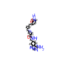 Nc1ncnc2cc(CNC(=O)c3ccnc(Cc4ccc(Cc5ccc[nH]c5=O)cc4)c3)ccc12